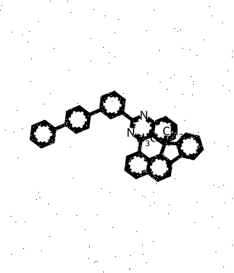 CC1(C)c2ccccc2-c2ccc3cccc(-c4nc(-c5cccc(-c6ccc(-c7ccccc7)cc6)c5)nc5ccccc45)c3c21